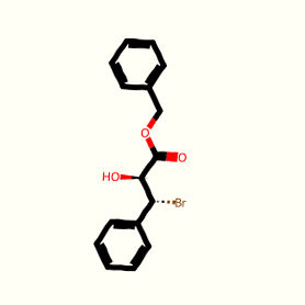 O=C(OCc1ccccc1)[C@H](O)[C@H](Br)c1ccccc1